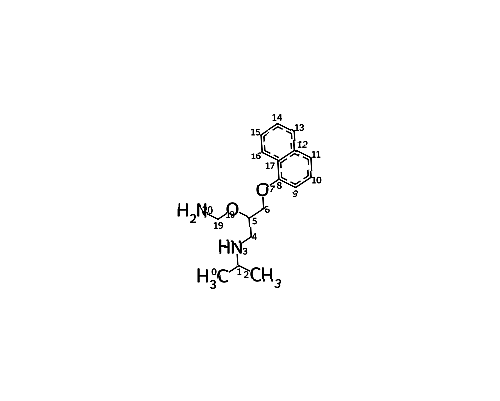 CC(C)NCC(COc1cccc2ccccc12)OCN